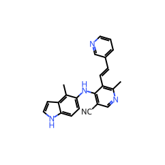 Cc1ncc(C#N)c(Nc2ccc3[nH]ccc3c2C)c1C=Cc1cccnc1